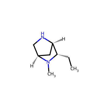 CC[C@H]1[C@H]2C[C@H](CN2)N1C